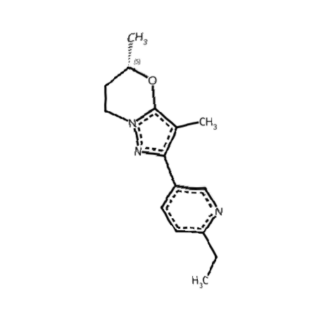 CCc1ccc(-c2nn3c(c2C)O[C@@H](C)CC3)cn1